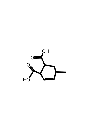 CC1C=CC(C(=O)O)C(C(=O)O)C1